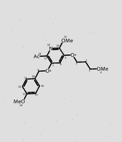 COCCCOc1cc(OCc2ccc(OC)cc2)c(C(C)=O)nc1OC